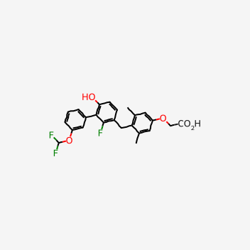 Cc1cc(OCC(=O)O)cc(C)c1Cc1ccc(O)c(-c2cccc(OC(F)F)c2)c1F